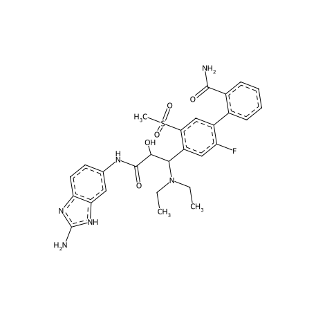 CCN(CC)C(c1cc(F)c(-c2ccccc2C(N)=O)cc1S(C)(=O)=O)C(O)C(=O)Nc1ccc2nc(N)[nH]c2c1